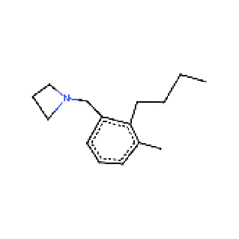 CCCCc1c(C)cccc1CN1CCC1